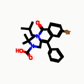 CC(C)Cn1c(CN(C(=O)O)C(C)(C)C)c(-c2ccccc2)c2cc(Br)ccc2c1=O